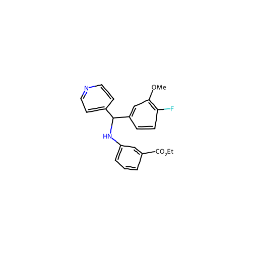 CCOC(=O)c1cccc(NC(c2ccncc2)c2ccc(F)c(OC)c2)c1